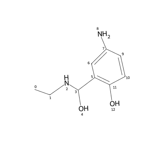 CCNC(O)c1cc(N)ccc1O